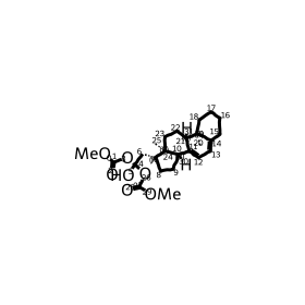 COC(=O)OC(O)(C[C@H]1CC[C@H]2C3=CC=C4CCCC[C@]4(C)[C@H]3CC[C@]12C)OC(=O)OC